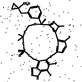 Cn1nc2nc1-c1cc(ccc1F)Sc1c(F)c(F)c3[nH]ccc3c1CCS(=O)(=O)CC(C)(C)CCC[C@]2(C)c1cccc(CC2(C(=O)O)CC2)c1